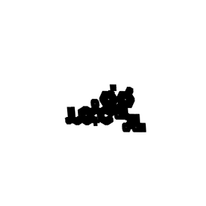 CNCc1ccc(C(=O)N2CCC[C@@H]([C@@](O)(CCCNC(=O)O)c3cccc(F)c3-c3cccc(C)c3)C2)c(F)c1